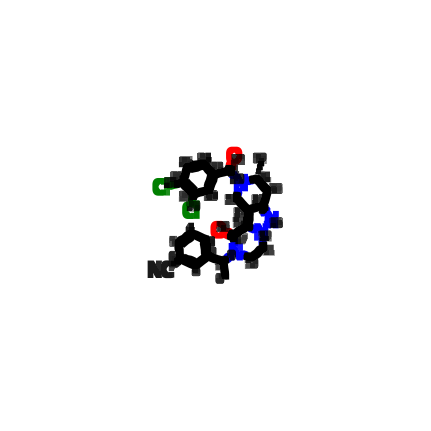 CC(c1cccc(C#N)c1)N1CCn2nc3c(c2C1=O)CN(C(=O)c1ccc(Cl)c(Cl)c1)[C@H](C)C3